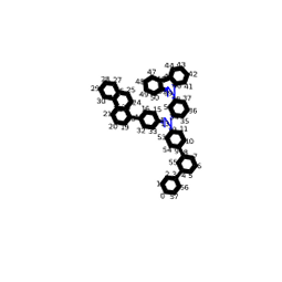 c1ccc(-c2cccc(-c3ccc(N(c4ccc(-c5cccc6c5ccc5ccccc56)cc4)c4cccc(-n5c6ccccc6c6ccccc65)c4)cc3)c2)cc1